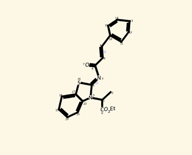 CCOC(=O)C(C)n1/c(=N/C(=O)/C=C/c2ccccc2)sc2ccccc21